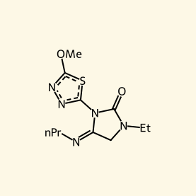 CCCN=C1CN(CC)C(=O)N1c1nnc(OC)s1